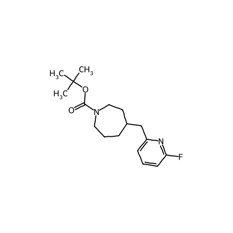 CC(C)(C)OC(=O)N1CCCC(Cc2cccc(F)n2)CC1